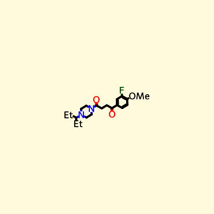 CCC(CC)N1CCN(C(=O)CCC(=O)c2ccc(OC)c(F)c2)CC1